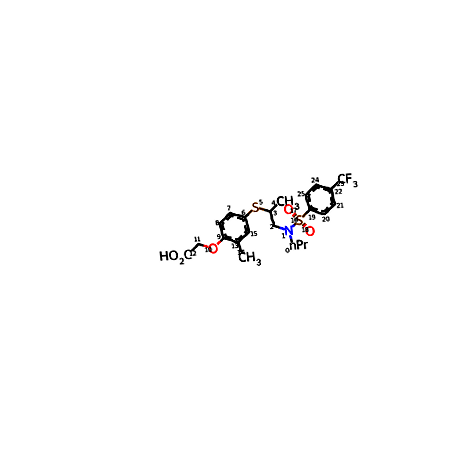 CCCN(CC(C)Sc1ccc(OCC(=O)O)c(C)c1)S(=O)(=O)c1ccc(C(F)(F)F)cc1